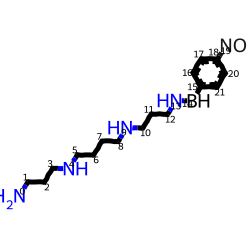 NCCCNCCCCNCCCNBc1ccc([N+](=O)[O-])cc1